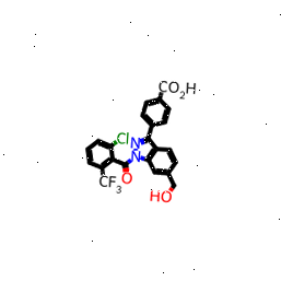 O=C(O)c1ccc(-c2nn(C(=O)c3c(Cl)cccc3C(F)(F)F)c3cc(CO)ccc23)cc1